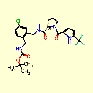 CC(C)(C)OC(=O)NCc1ccc(Cl)cc1CNC(=O)[C@@H]1CCCN1C(=O)c1ccc(C(F)(F)F)[nH]1